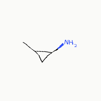 CC1C[C@@H]1N